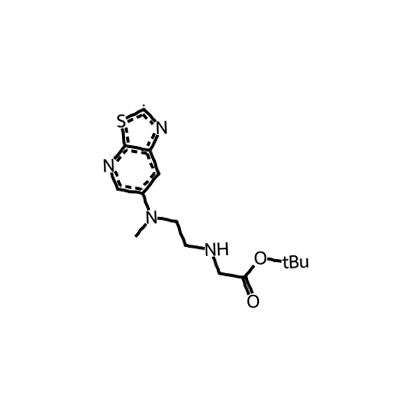 CN(CCNCC(=O)OC(C)(C)C)c1cnc2s[c]nc2c1